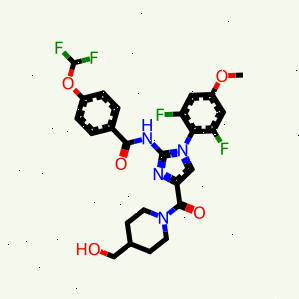 COc1cc(F)c(-n2cc(C(=O)N3CCC(CO)CC3)nc2NC(=O)c2ccc(OC(F)F)cc2)c(F)c1